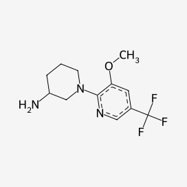 COc1cc(C(F)(F)F)cnc1N1CCCC(N)C1